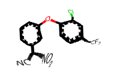 N#CC(c1cccc(Oc2ccc(C(F)(F)F)cc2Cl)c1)[N+](=O)[O-]